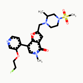 CC1CN(S(C)(=O)=O)CCN1Cc1cc2c(=O)n(C)cc(-c3ccncc3OCCF)c2o1